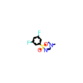 CN(C)/C=N\S(=O)(=O)c1cc(F)cc(F)c1